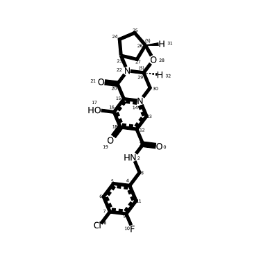 O=C(NCc1ccc(Cl)c(F)c1)c1cn2c(c(O)c1=O)C(=O)N1C3CC[C@@H](C3)O[C@H]1C2